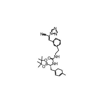 CC1=CC=C(C[C@H](NC(=O)NCCc2cccc(C=C(C#N)n3cncn3)c2)B2OC(C)(C)C(C)(C)O2)CC1